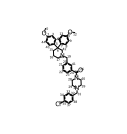 COc1ccc(C2(c3ccc(OC)cc3)CCCN(Cc3cccc(C(=O)N4CCN(Cc5ccc(Cl)cc5)CC4)c3)C2)cc1